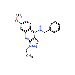 CCn1ncc2c(NCc3ccccc3)c3ccc(OC)cc3nc21